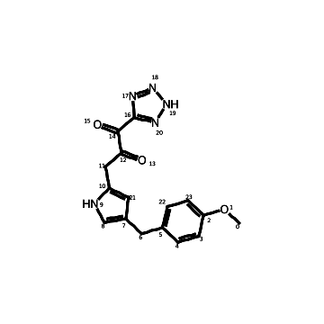 COc1ccc(Cc2c[nH]c(CC(=O)C(=O)c3nn[nH]n3)c2)cc1